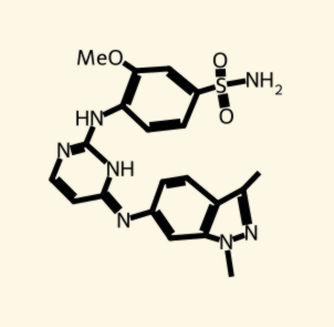 COc1cc(S(N)(=O)=O)ccc1Nc1nccc(=Nc2ccc3c(C)nn(C)c3c2)[nH]1